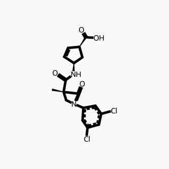 C[C@]1(C(=O)N[C@H]2C=C[C@@H](C(=O)O)C2)CN(c2cc(Cl)cc(Cl)c2)C1=O